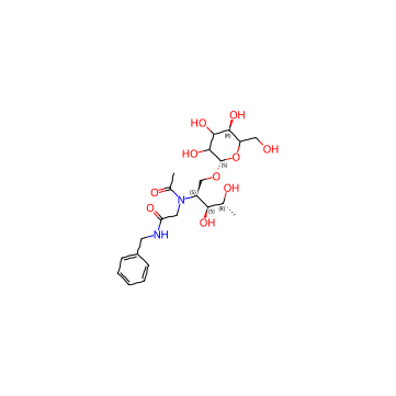 CC(=O)N(CC(=O)NCc1ccccc1)[C@@H](CO[C@H]1OC(CO)[C@H](O)C(O)C1O)[C@H](O)[C@@H](C)O